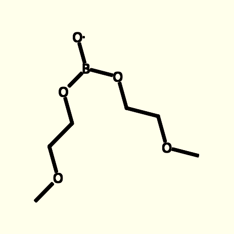 COCCOB([O])OCCOC